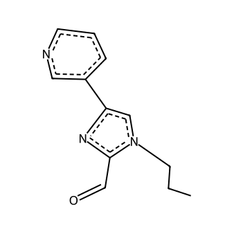 CCCn1cc(-c2cccnc2)nc1C=O